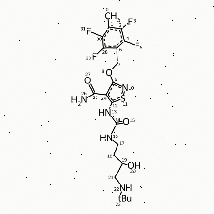 Cc1c(F)c(F)c(COc2nsc(NC(=O)NCCC(O)CNC(C)(C)C)c2C(N)=O)c(F)c1F